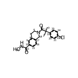 CC(C)(C(=O)N1CCc2cc(C(=O)NO)ccc2C1)c1ccc(Cl)cc1